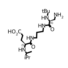 CC(C)C(C)N[C@@H](CCC(=O)O)C(=O)NCCCNC(=O)[C@H](CN)NC(C)(C)C